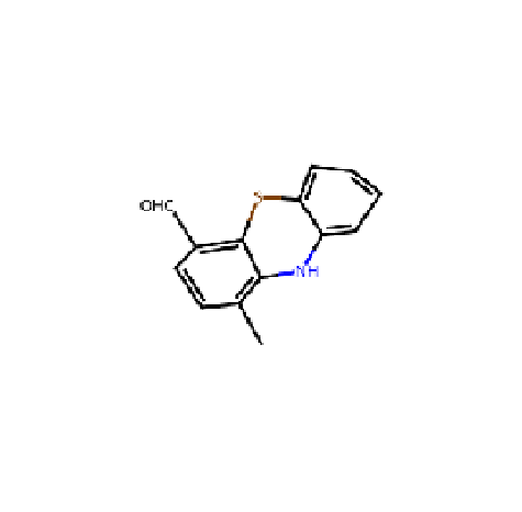 Cc1ccc(C=O)c2c1Nc1ccccc1S2